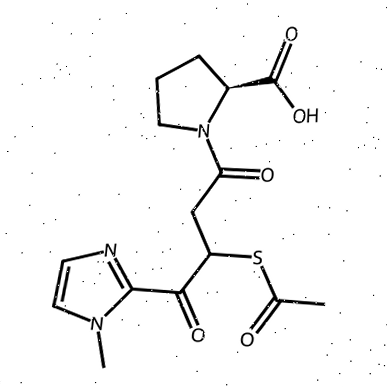 CC(=O)SC(CC(=O)N1CCC[C@H]1C(=O)O)C(=O)c1nccn1C